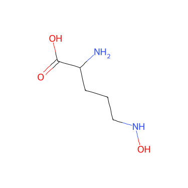 NC(CCCNO)C(=O)O